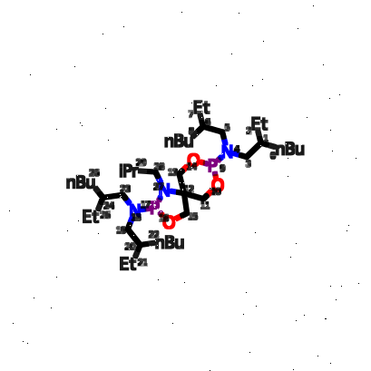 CCCCC(CC)CN(CC(CC)CCCC)P1OCC2(CO1)COP(N(CC(CC)CCCC)CC(CC)CCCC)N2CC(C)C